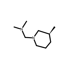 C[C@H]1CCCN(CN(C)C)C1